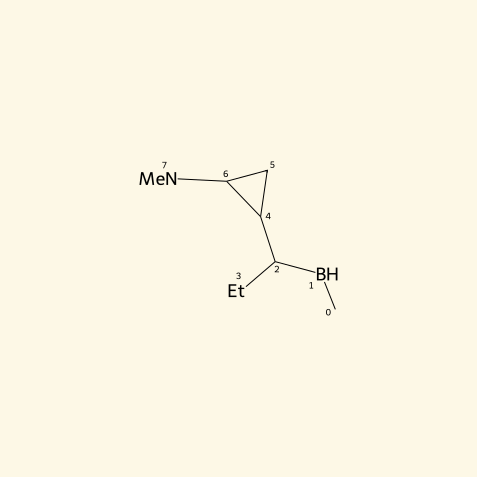 CBC(CC)C1CC1NC